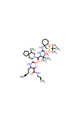 C#CCCC(NC(=O)[C@@H]1CC2(CCCC2)C(C)CN1C(=O)[C@@H](NC(=O)NC1(CS(=O)(=O)C(C)(C)C)CCCCC1)C(C)(C)C)C(=O)C(=O)NCC=C